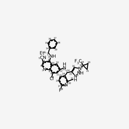 CC[C@@H](Nc1c(C#N)cnc2c(Cl)cc(N[C@H](C3=CN(C4(C(F)(F)F)CC4)NN3)c3ccc(F)nc3C)cc12)c1ccccc1